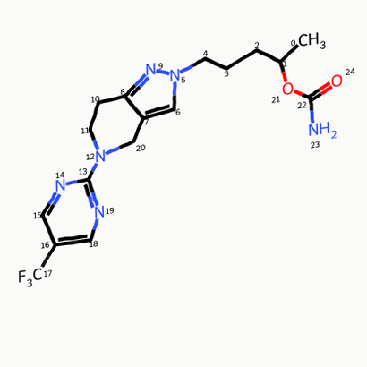 CC(CCCn1cc2c(n1)CCN(c1ncc(C(F)(F)F)cn1)C2)OC(N)=O